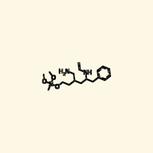 C=CNC(Cc1ccccc1)CC(CN)CCO[Si](C)(OC)OC